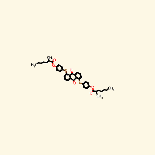 CCCCCC(C)C(=O)Oc1ccc(Sc2cccc3c2C(=O)c2cccc(Sc4ccc(OC(=O)C(C)CCCCC)cc4)c2C3=O)cc1